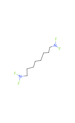 FN(F)CCCCCCCCN(F)F